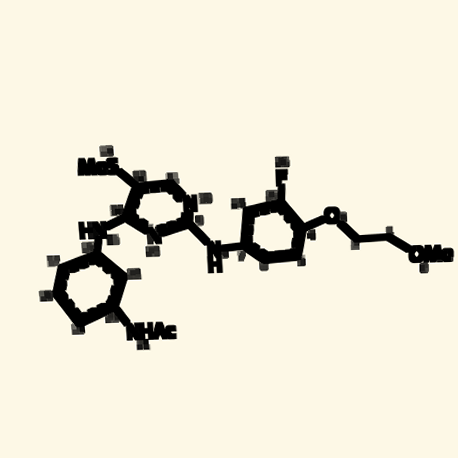 COCCOc1ccc(Nc2ncc(SC)c(Nc3cccc(NC(C)=O)c3)n2)cc1F